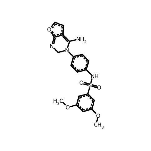 COc1cc(OC)cc(S(=O)(=O)Nc2ccc(N3CN=c4occc4=C3N)cc2)c1